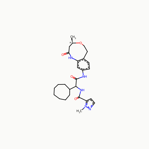 C[C@@H]1CC(=O)Nc2cc(NC(=O)C(NC(=O)c3ccnn3C)C3CCCCCCC3)ccc2CCO1